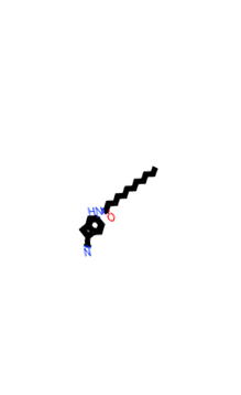 CCCCCCCCCCCC(=O)Nc1ccc2c(c1)C=C2C#N